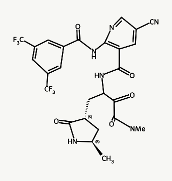 CNC(=O)C(=O)C(C[C@@H]1C[C@@H](C)NC1=O)NC(=O)c1cc(C#N)cnc1NC(=O)c1cc(C(F)(F)F)cc(C(F)(F)F)c1